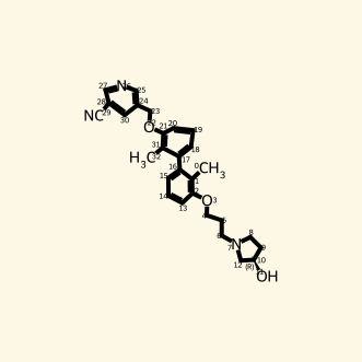 Cc1c(OCCCN2CC[C@@H](O)C2)cccc1-c1cccc(OCc2cncc(C#N)c2)c1C